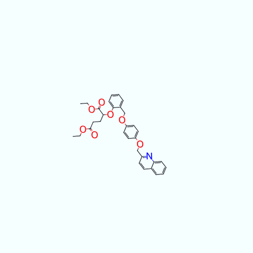 CCOC(=O)CCC(Oc1ccccc1COc1ccc(OCc2ccc3ccccc3n2)cc1)C(=O)OCC